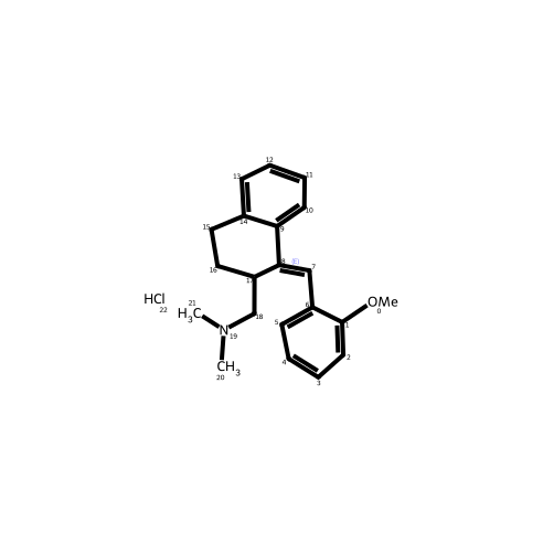 COc1ccccc1/C=C1/c2ccccc2CCC1CN(C)C.Cl